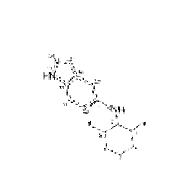 CC1CCCC(C)C1Nc1ccc2[nH]ncc2c1